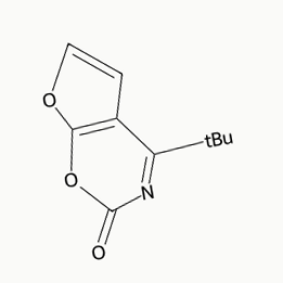 CC(C)(C)c1nc(=O)oc2occc12